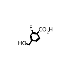 O=C(O)c1ccc(CO)cc1F